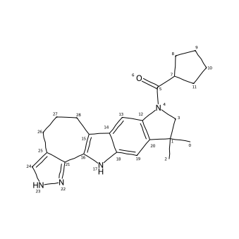 CC1(C)CN(C(=O)C2CCCC2)c2cc3c4c([nH]c3cc21)-c1n[nH]cc1CCC4